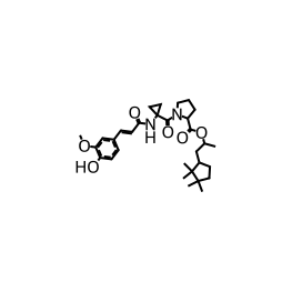 COc1cc(/C=C/C(=O)NC2(C(=O)N3CCCC3C(=O)OC(C)CC3CCC(C)(C)C3(C)C)CC2)ccc1O